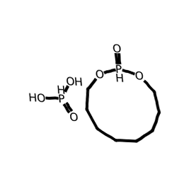 O=[PH](O)O.O=[PH]1OCCCCCCCCO1